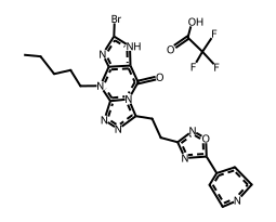 CCCCCn1c2nc(Br)[nH]c2c(=O)n2c(CCc3noc(-c4ccncc4)n3)nnc12.O=C(O)C(F)(F)F